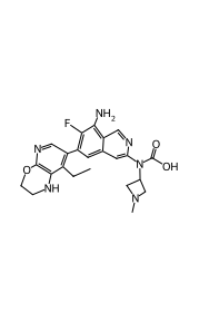 CCc1c(-c2cc3cc(N(C(=O)O)C4CN(C)C4)ncc3c(N)c2F)cnc2c1NCCO2